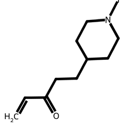 C=CC(=O)CCC1CCN(I)CC1